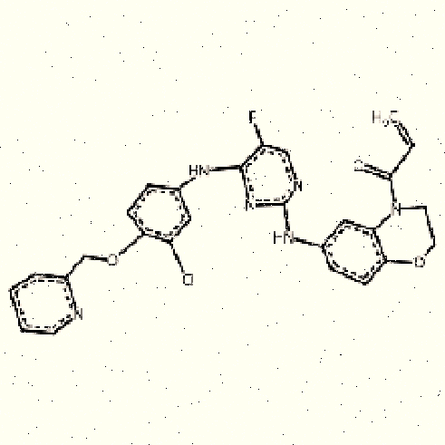 C=CC(=O)N1CCOc2ccc(Nc3ncc(F)c(Nc4ccc(OCc5ccccn5)c(Cl)c4)n3)cc21